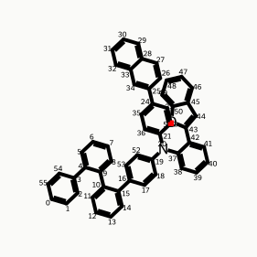 c1ccc(-c2ccccc2-c2ccccc2-c2ccc(N(c3ccc(-c4ccc5ccccc5c4)cc3)c3ccccc3-c3cc4ccccc4o3)cc2)cc1